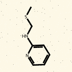 CSCNc1ccccn1